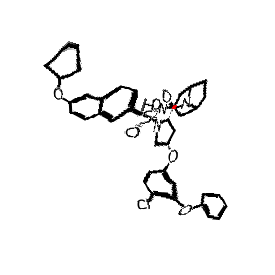 NC1CC2CCC(C1)N2C(=O)[C@@H]1C[C@H](Oc2ccc(Cl)c(Oc3ccccc3)c2)CN1S(=O)(=O)c1ccc2cc(OC3CCCC3)ccc2c1